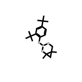 CC(C)(C)c1ccc(OP2OCC3(C)CC3(C)O2)c(C(C)(C)C)c1